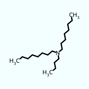 CCCCCCCCN(CCCC)CCCCCCCC